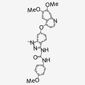 COc1ccc(NC(=O)Nc2nn(C)c3cc(Oc4ccnc5cc(OC)c(OC)cc45)ccc23)cc1